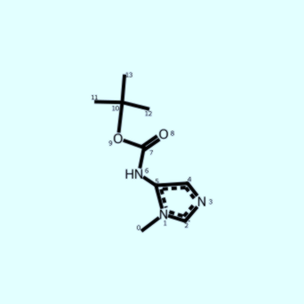 Cn1[c]ncc1NC(=O)OC(C)(C)C